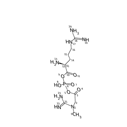 CN(CC(=O)OP(=O)(O)OC(=O)[C@@H](N)CCCNC(=N)N)C(=N)N